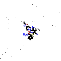 C=CC(=O)NC1CCN(c2nc(SC(C(N)=O)c3ccccc3)c(C#N)c(CC)c2C#N)CC1